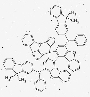 CC1(C)c2ccccc2-c2ccc(N(c3ccccc3)c3cc4c(c5c3oc3ccccc35)-c3c(cc(N(c5ccccc5)c5ccc6c(c5)C(C)(C)c5ccccc5-6)c5oc6ccccc6c35)C43c4ccccc4-n4c5ccccc5c5cccc3c54)cc21